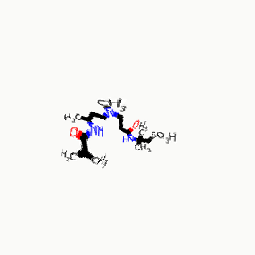 C=C(C)C(=O)NC(C)CCN(C)CCC(=O)NC(C)(C)CS(=O)(=O)O